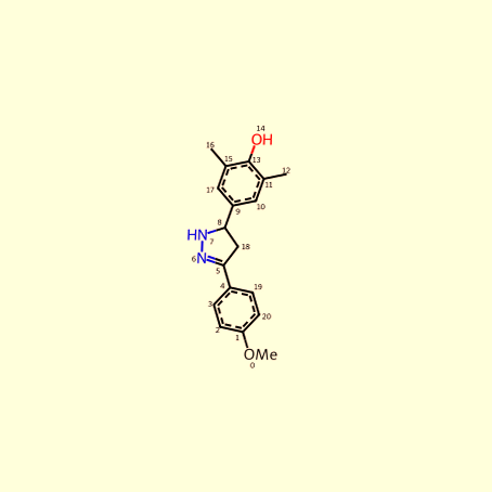 COc1ccc(C2=NNC(c3cc(C)c(O)c(C)c3)C2)cc1